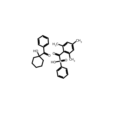 Cc1cc(C)c(C(=O)P(=O)(O)c2ccccc2)c(C)c1.O=C(c1ccccc1)C1(O)CCCCC1